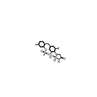 Cc1ccc(Cc2cc(O)c(N3CC(=O)NS3(=O)=O)c(F)c2)c(OS(C)(=O)=O)c1